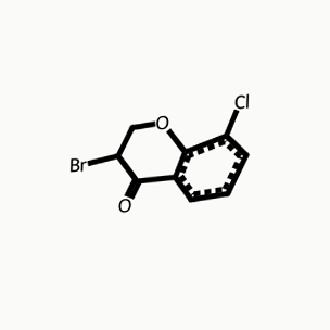 O=C1c2cccc(Cl)c2OCC1Br